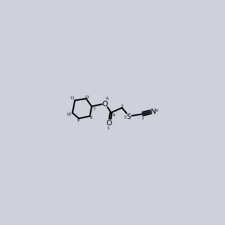 N#CSCC(=O)OC1CCCCC1